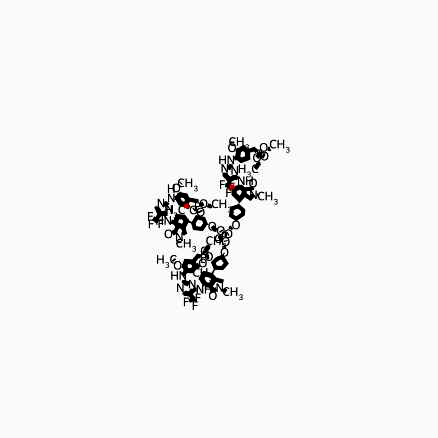 CCOP(=O)(Cc1ccc(Nc2ncc(C(F)(F)F)c(Nc3ccc([C@H]4CC[C@H](OCOP(=O)(OCO[C@H]5CC[C@H](c6ccc(Nc7nc(Nc8ccc(CP(=O)(OCC)OCC)cc8OC)ncc7C(F)(F)F)c7c6CN(C)C7=O)CC5)OCO[C@H]5CC[C@H](c6ccc(Nc7nc(Nc8ccc(CP(=O)(OCC)OCC)cc8OC)ncc7C(F)(F)F)c7c6CN(C)C7=O)CC5)CC4)c4c3C(=O)N(C)C4)n2)c(OC)c1)OCC